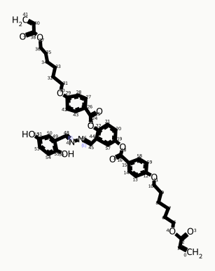 C=CC(=O)OCCCCCCOc1ccc(C(=O)Oc2ccc(OC(=O)c3ccc(OCCCCCCOC(=O)C=C)cc3)c(/C=N/N=C/c3cc(O)ccc3O)c2)cc1